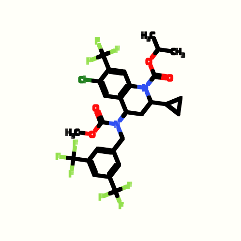 COC(=O)N(Cc1cc(C(F)(F)F)cc(C(F)(F)F)c1)C1CC(C2CC2)N(C(=O)OC(C)C)c2cc(C(F)(F)F)c(Cl)cc21